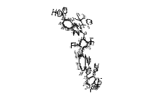 CC1(C)COCC1n1c(Cc2cc(F)c(-c3cccc(OCc4ccc(C(F)(F)F)cc4C#N)n3)cc2F)nc2ccc(C(=O)O)cc21